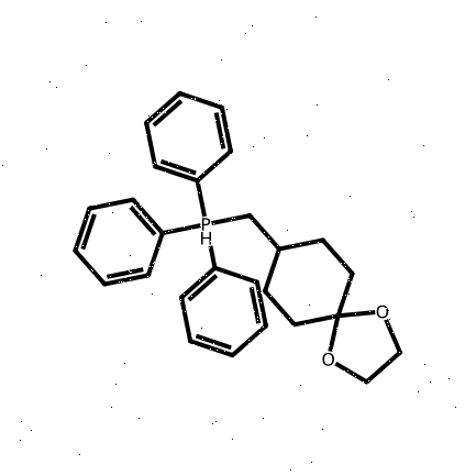 c1ccc([PH](CC2CCC3(CC2)OCCO3)(c2ccccc2)c2ccccc2)cc1